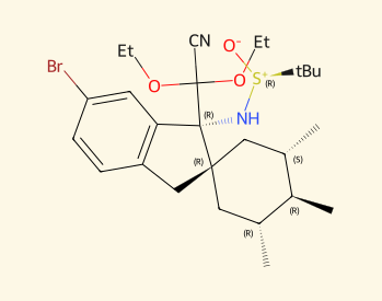 CCOC(C#N)(OCC)[C@]1(N[S@@+]([O-])C(C)(C)C)c2cc(Br)ccc2C[C@@]12C[C@@H](C)[C@H](C)[C@@H](C)C2